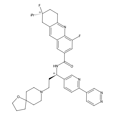 CC(C)[C@]1(F)CCc2nc3c(F)cc(C(=O)N[C@H](CCN4CCC5(CCCO5)CC4)c4ccc(-c5ccnnc5)nc4)cc3cc2C1